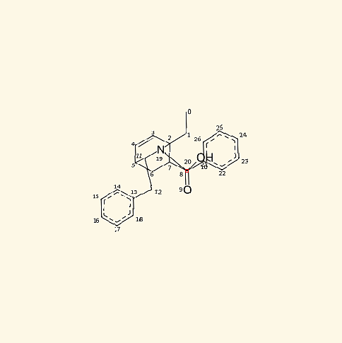 CCC12C=CC(CC1C(=O)O)C(Cc1ccccc1)N2Cc1ccccc1